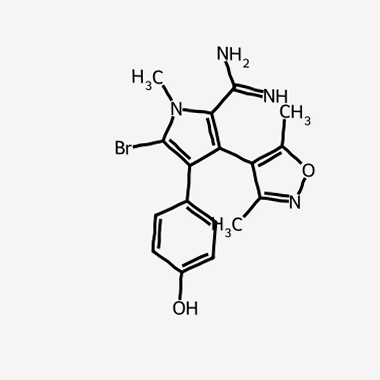 Cc1noc(C)c1-c1c(-c2ccc(O)cc2)c(Br)n(C)c1C(=N)N